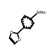 CNc1ccc(C2OC=CO2)cc1